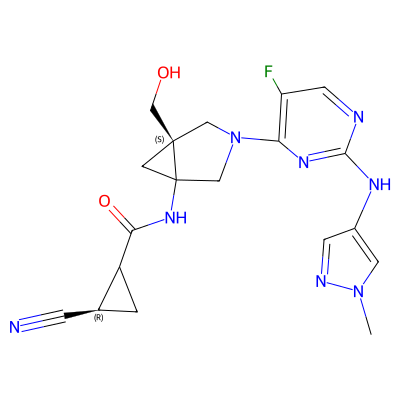 Cn1cc(Nc2ncc(F)c(N3CC4(NC(=O)C5C[C@H]5C#N)C[C@]4(CO)C3)n2)cn1